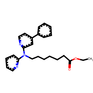 CCOC(=O)CCCCCCN(c1ccccn1)c1cc(-c2ccccc2)ccn1